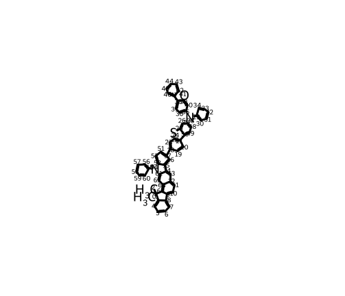 CC1(C)c2ccccc2-c2ccc3cc4c5cc(-c6ccc7c(c6)sc6cc(N(c8ccccc8)c8ccc9c(c8)oc8ccccc89)ccc67)ccc5n(-c5ccccc5)c4cc3c21